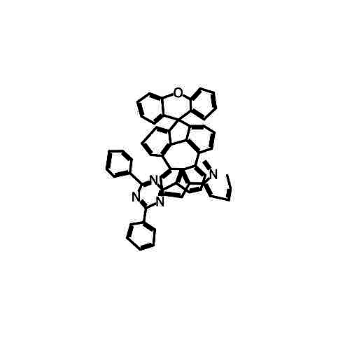 C=N/C(=C\C=C/C)c1cccc(-c2cccc3c2-c2c(-c4cccc(-c5nc(-c6ccccc6)nc(-c6ccccc6)n5)c4)cccc2C32c3ccccc3Oc3ccccc32)c1